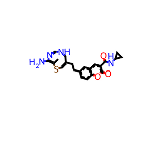 C/C1=C(N)\N=C/NC/C(CCc2ccc3oc(=O)c(C(=O)NC4CC4)cc3c2)=C\S1